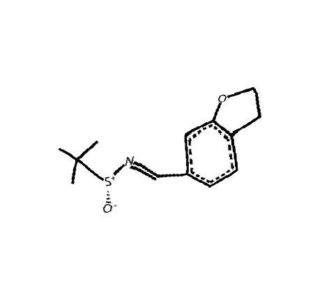 CC(C)(C)[S@@+]([O-])N=Cc1ccc2c(c1)OCC2